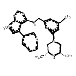 C[C@@H]1CN(c2cc(C(F)(F)F)cc(CNc3ncnc4[nH]cc(-c5cccnc5)c34)n2)C[C@H](C)N1